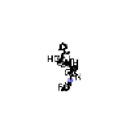 C/C=C(/CC(NC(=O)NCC1CCCN1C(=O)C(C#N)/C=C/C(C)(C)N1CCC(C)(F)C1)B(O)O)c1ccccc1C